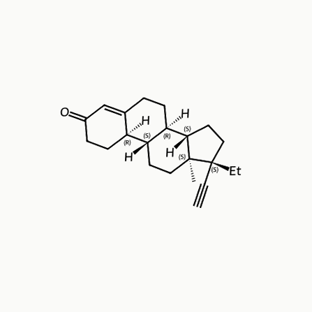 C#C[C@@]1(CC)CC[C@H]2[C@@H]3CCC4=CC(=O)CC[C@@H]4[C@H]3CC[C@@]21C